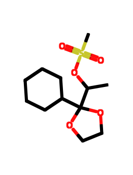 CC(OS(C)(=O)=O)C1(C2CCCCC2)OCCO1